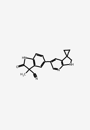 CC1(C#N)C(=O)Nc2ccc(-c3cnc4c(c3)C3(CC3)CN4)cc21